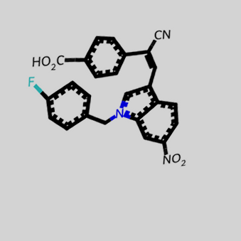 N#CC(=Cc1cn(Cc2ccc(F)cc2)c2cc([N+](=O)[O-])ccc12)c1ccc(C(=O)O)cc1